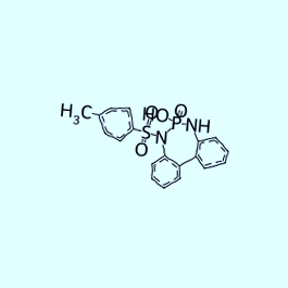 Cc1ccc(S(=O)(=O)N2c3ccccc3-c3ccccc3NP2(=O)O)cc1